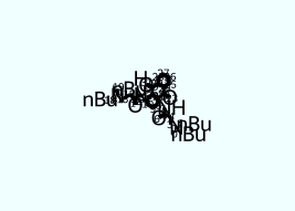 CCCCN(CCCC)CCC(=O)Nc1ccc(NC(=O)CCN(CCCC)CCCC)c2c1C(=O)c1ccccc1C2=O